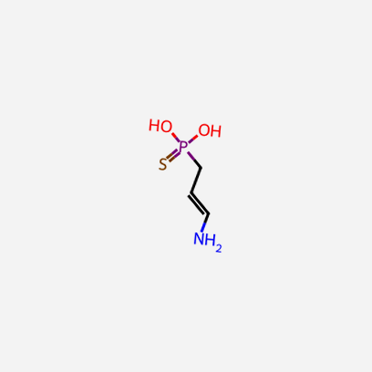 NC=CCP(O)(O)=S